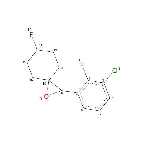 Fc1c(Cl)cccc1C1OC12CCC(F)CC2